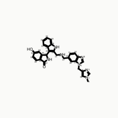 Cn1cnc(Cn2cnc3ccc(CNCc4[nH]c5ccccc5c4C4NC(=O)c5ccc(O)cc54)cc32)c1